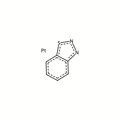 [Pt].c1ccc2snnc2c1